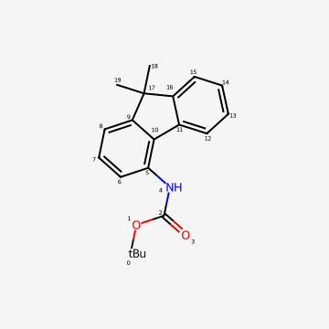 CC(C)(C)OC(=O)Nc1cccc2c1-c1ccccc1C2(C)C